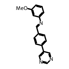 COc1cccc(N=Cc2ccc(-c3cncnc3)cc2)c1